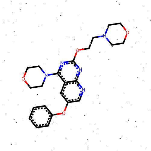 c1ccc(Oc2cnc3nc(OCCN4CCOCC4)nc(N4CCOCC4)c3c2)cc1